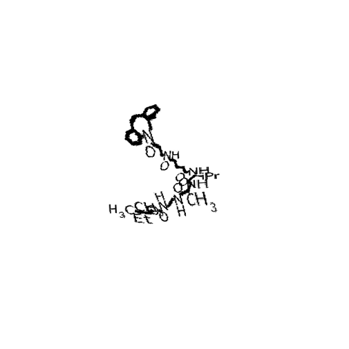 CCC(C)(C)COC(=O)NCCNC(=O)[C@H](C)NC(=O)[C@@H](NC(=O)CCCC(=O)NCCC(=O)N1Cc2ccccc2C#Cc2ccccc21)C(C)C